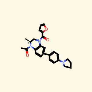 CC(=O)N1c2ccc(-c3ccc(N4CCCC4)cc3)cc2N(C(=O)c2ccco2)C[C@@H]1C